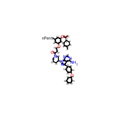 C=C(C)[C@H]1CCC(C)=C[C@@H]1c1c(O)cc(CCCCC)cc1O/C=C/C(=O)N1CCC[C@@H](n2nc(-c3ccc(Oc4ccccc4)cc3)c3c(N)ncnc32)C1